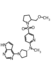 COCC1CCCN1S(=O)(=O)c1ccc(N(C)[C@@H]2CCN(c3ncnc4[nH]ccc34)C2)nc1